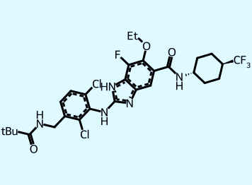 CCOc1c(C(=O)N[C@H]2CC[C@H](C(F)(F)F)CC2)cc2nc(Nc3c(Cl)ccc(CNC(=O)C(C)(C)C)c3Cl)[nH]c2c1F